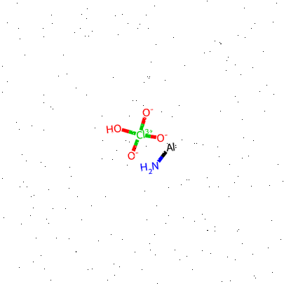 [NH2][Al].[O-][Cl+3]([O-])([O-])O